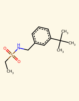 CCS(=O)(=O)NCc1cccc(C(C)(C)C)c1